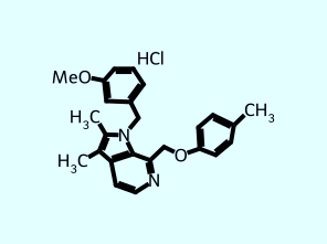 COc1cccc(Cn2c(C)c(C)c3ccnc(COc4ccc(C)cc4)c32)c1.Cl